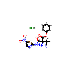 CC(C)(C)C(N)(C(=O)Nc1ncc([N+](=O)[O-])s1)C(=O)Oc1ccccc1.Cl